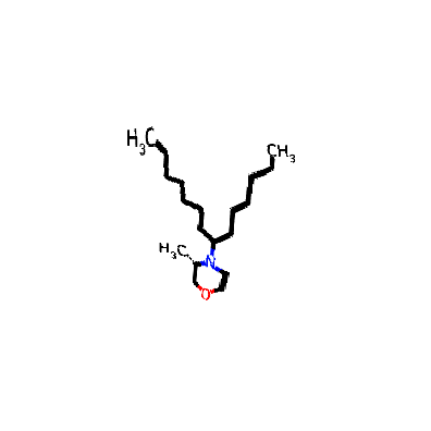 CCCCCCCC(CCCCCC)N1CCOC[C@@H]1C